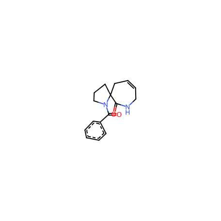 O=C(c1ccccc1)N1CCCC12CC=CCNC2=O